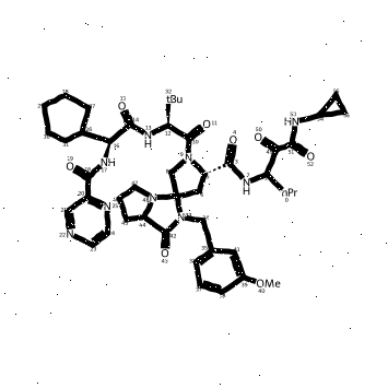 CCCC(NC(=O)[C@@H]1CC2(CN1C(=O)[C@@H](NC(=O)[C@@H](NC(=O)c1cnccn1)C1CCCCC1)C(C)(C)C)N(Cc1cccc(OC)c1)C(=O)C1CCCN12)C(=O)C(=O)NC1CC1